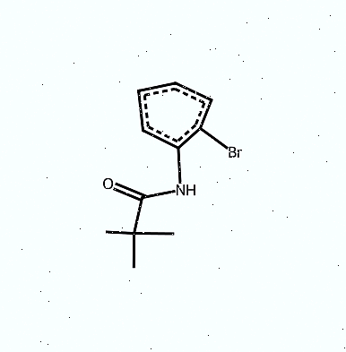 CC(C)(C)C(=O)Nc1ccccc1Br